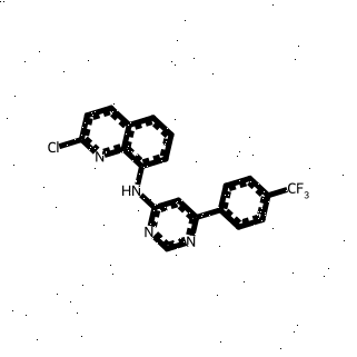 FC(F)(F)c1ccc(-c2cc(Nc3cccc4ccc(Cl)nc34)ncn2)cc1